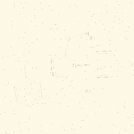 C=C(C)c1c[n+](-c2c(C(C)C)cccc2C(C)C)cn1-c1c(C(C)C)cccc1C(C)C